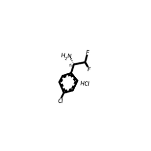 Cl.N[C@@H](c1ccc(Cl)cc1)C(F)F